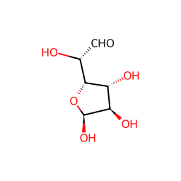 O=C[C@@H](O)[C@H]1O[C@H](O)[C@H](O)[C@H]1O